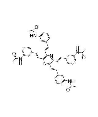 CC(=O)Nc1cccc(/C=C/c2nc(/C=C/c3cccc(NC(C)=O)c3)c(/C=C/c3cccc(NC(C)=O)c3)nc2/C=C/c2cccc(NC(C)=O)c2)c1